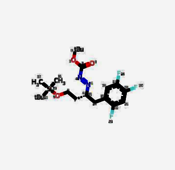 CC(C)(C)OC(=O)N=N[C@@H](CCO[Si](C)(C)C(C)(C)C)Cc1cc(F)c(F)cc1F